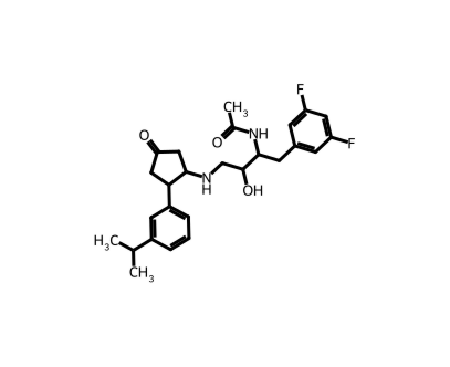 CC(=O)NC(Cc1cc(F)cc(F)c1)C(O)CNC1CC(=O)CC1c1cccc(C(C)C)c1